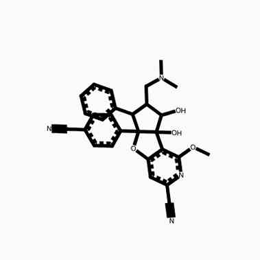 COc1nc(C#N)cc2c1C1(O)C(O)C(CN(C)C)C(c3ccccc3)C1(c1ccc(C#N)cc1)O2